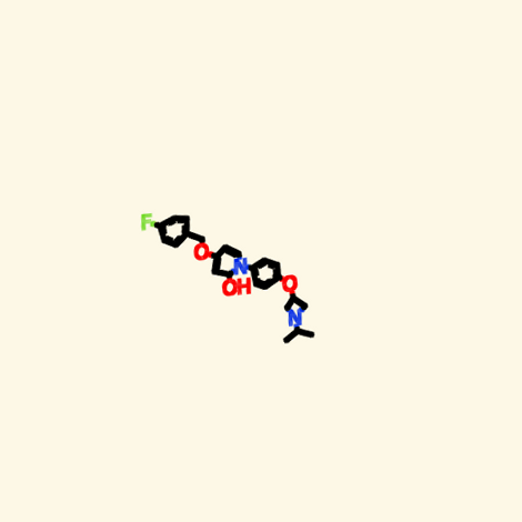 CC(C)N1CC(Oc2ccc(N3C=CC(OCc4ccc(F)cc4)=CC3O)cc2)C1